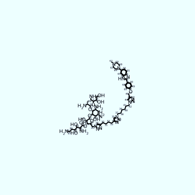 C[C@H](N)[C@H](OC(CN)[C@@H](O)CO)O[C@@H]1C(N)C[C@@H](N)[C@@H](O)C1OC1OC(Cn2cc(CCCCc3cn(CCCCCCn4cc(COc5ccc(-c6nc7ccc(N8CCN(C)CC8)cc7[nH]6)cc5)nn4)nn3)nn2)[C@H](O[C@@H](O)C(N)C(O)[C@H](O)CCN)[C@@H]1O